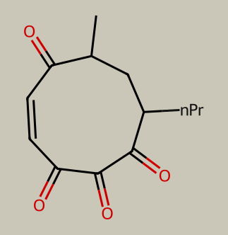 CCCC1CC(C)C(=O)C=CC(=O)C(=O)C1=O